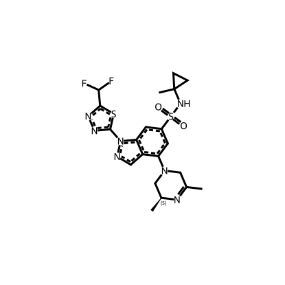 CC1=N[C@@H](C)CN(c2cc(S(=O)(=O)NC3(C)CC3)cc3c2cnn3-c2nnc(C(F)F)s2)C1